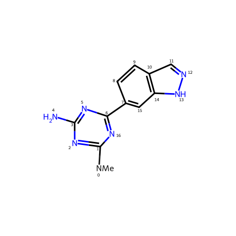 CNc1nc(N)nc(-c2ccc3cn[nH]c3c2)n1